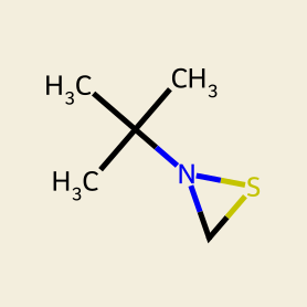 CC(C)(C)N1CS1